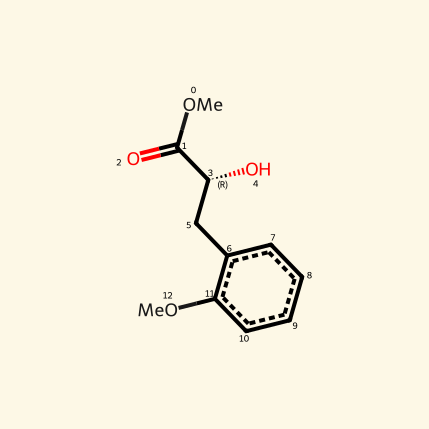 COC(=O)[C@H](O)Cc1ccccc1OC